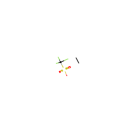 O=S(=O)(O)C(F)(F)F.[Li][CH3]